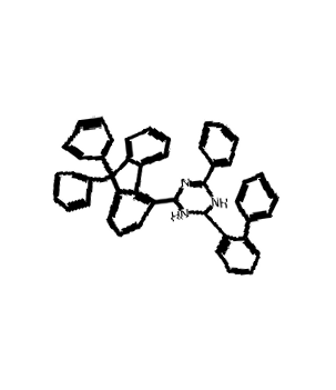 c1ccc(C2=NC(c3cccc4c3-c3ccccc3C4(c3ccccc3)c3ccccc3)NC(c3ccccc3-c3ccccc3)N2)cc1